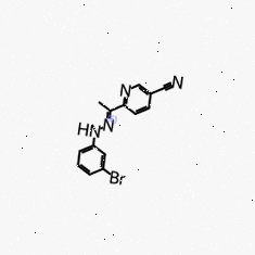 C/C(=N\Nc1cccc(Br)c1)c1ccc(C#N)cn1